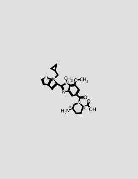 COc1cc(C(=O)N2C[C@H](N)CC[C@@H]2C(=O)O)cc2nc(-c3cc4ccoc4n3CC3CC3)n(C)c12